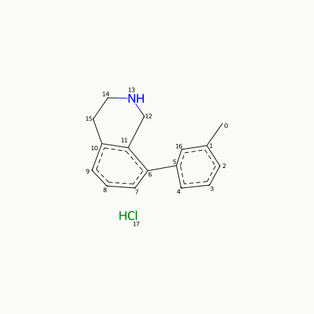 Cc1cccc(-c2cccc3c2CNCC3)c1.Cl